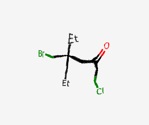 CCC(Br)(CC)C(=O)Cl